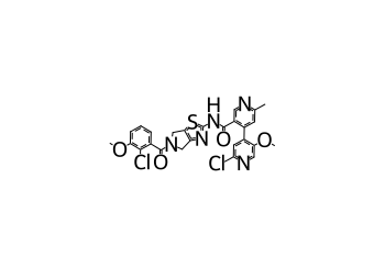 COc1cnc(Cl)cc1-c1cc(C)ncc1C(=O)Nc1nc2c(s1)CN(C(=O)c1cccc(OC)c1Cl)C2